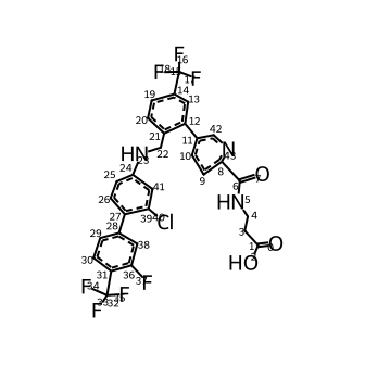 O=C(O)CCNC(=O)c1ccc(-c2cc(C(F)(F)F)ccc2CNc2ccc(-c3ccc(C(F)(F)F)c(F)c3)c(Cl)c2)cn1